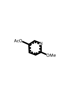 COc1ccc(OC(C)=O)cn1